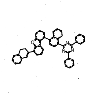 C1=C(c2cccc3c2oc2cccc(-c4ccc(-c5nc(-c6ccccc6)nc(-c6ccccc6)n5)c5ccccc45)c23)CCc2ccccc21